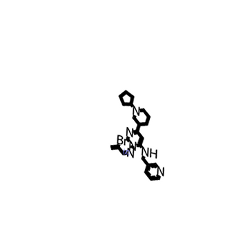 C=C(Br)/C=N\N1CN=C(C2CCCN(C3CCCC3)C2)C=C1NCc1cccnc1